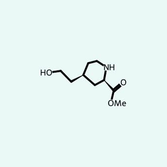 COC(=O)[C@H]1C[C@@H](CCO)CCN1